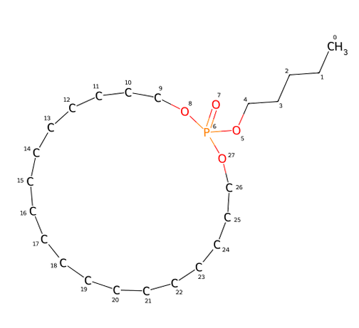 CCCCCOP1(=O)OCCCCCCCCCCCCCCCCCCO1